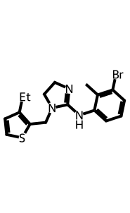 CCc1ccsc1CN1CCN=C1Nc1cccc(Br)c1C